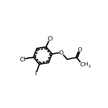 CC(=O)COc1cc(I)c(Cl)cc1Cl